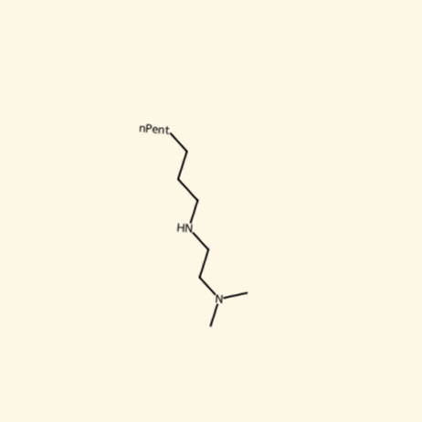 CCCCCCCCNCCN(C)C